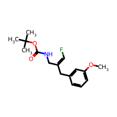 COc1cccc(CC(=CF)CNC(=O)OC(C)(C)C)c1